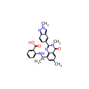 Cc1cc([C@@H](C)Nc2ccccc2C(=O)O)c2nc(-c3ccc4nn(C)cc4c3)n(C)c(=O)c2c1